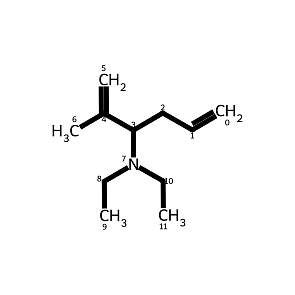 C=CCC(C(=C)C)N(CC)CC